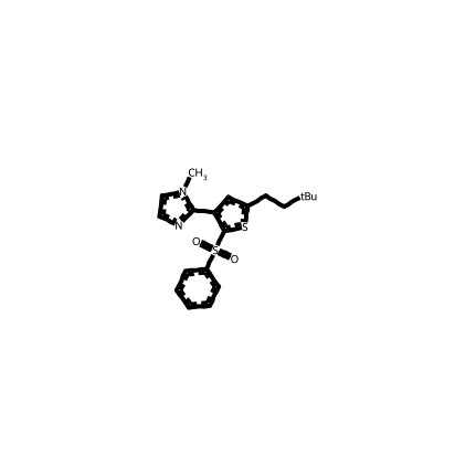 Cn1ccnc1-c1cc(CCC(C)(C)C)sc1S(=O)(=O)c1ccccc1